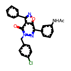 CC(=O)Nc1cccc(-c2nn(Cc3ccc(Cl)cc3)c(=O)c3c(-c4ccccc4)noc23)c1